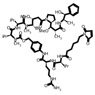 CCC(C)[C@@H]([C@@H](CC(=O)N1CCC[C@H]1[C@H](OC)[C@@H](C)C(=O)N[C@H](C)[C@@H](O)c1ccccc1)OC)N(C)C(=O)[C@@H](NC(=O)[C@H](C(C)C)N(C)C(=O)OCc1ccc(NC(=O)[C@H](CCCNC(N)=O)NC(=O)[C@@H](NC(=O)CCCCCN2C(=O)C=CC2=O)C(C)C)cc1)C(C)C